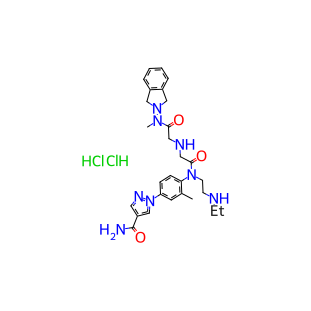 CCNCCN(C(=O)CNCC(=O)N(C)N1Cc2ccccc2C1)c1ccc(-n2cc(C(N)=O)cn2)cc1C.Cl.Cl